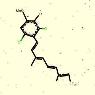 CCOC(=O)/C=C(C)/C=C/C=C(C)C=Cc1c(Cl)cc(OC)c(CC)c1Cl